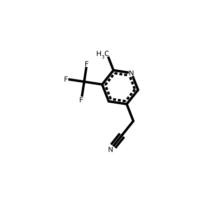 Cc1ncc(CC#N)cc1C(F)(F)F